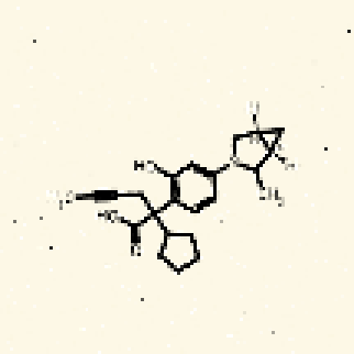 CC#CCC(C(=O)O)(c1ccc(N2C[C@@H]3C[C@@H]3C2C)cc1O)C1CCCC1